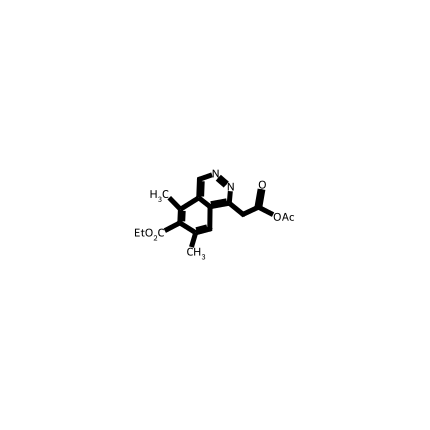 CCOC(=O)c1c(C)cc2c(CC(=O)OC(C)=O)nncc2c1C